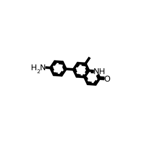 Cc1cc(-c2ccc(N)cc2)cc2ccc(=O)[nH]c12